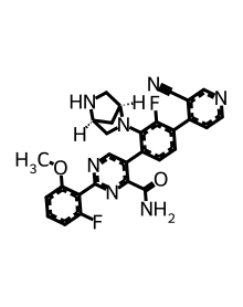 COc1cccc(F)c1-c1ncc(-c2ccc(-c3ccncc3C#N)c(F)c2N2C[C@@H]3C[C@H]2CN3)c(C(N)=O)n1